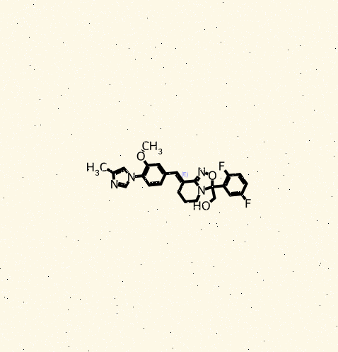 COc1cc(/C=C2\CCCN3C2=NOC3(CO)c2cc(F)ccc2F)ccc1-n1cnc(C)c1